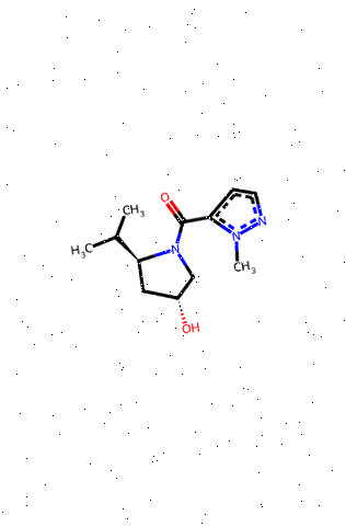 CC(C)[C@@H]1C[C@@H](O)CN1C(=O)c1ccnn1C